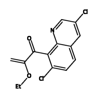 C=C(OCC)C(=O)c1c(Cl)ccc2cc(Cl)cnc12